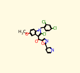 COc1ccc2c(c1)c(C(=O)c1cnc(-c3cccnc3)o1)c(Cl)n2Cc1ccc(Cl)cc1Cl